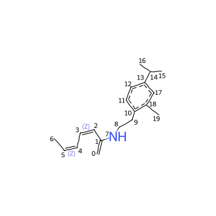 C=C(/C=C\C=C/C)NCCc1ccc(C(C)C)cc1C